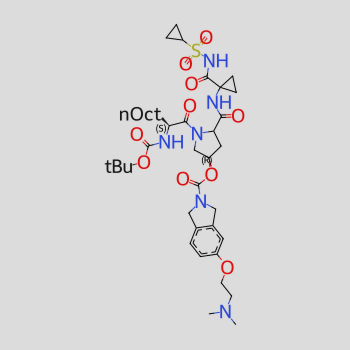 CCCCCCCC[C@H](NC(=O)OC(C)(C)C)C(=O)N1C[C@H](OC(=O)N2Cc3ccc(OCCN(C)C)cc3C2)CC1C(=O)NC1(C(=O)NS(=O)(=O)C2CC2)CC1